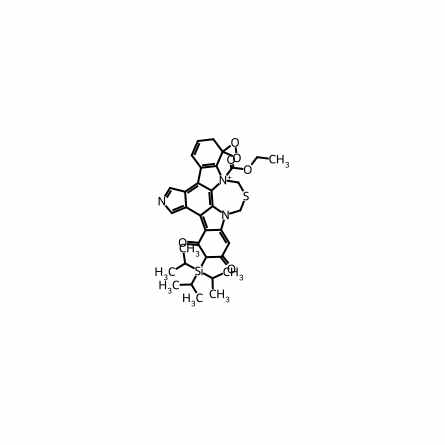 CCOC(=O)[N+]12CSCn3c4c(c5c6c(c(c1c53)C1=C2C2(CC=C1)OO2)C=NC=6)C(=O)C([Si](C(C)C)(C(C)C)C(C)C)C(=O)C=4